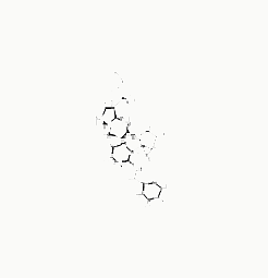 CCOC(=O)c1cnn2ccc(N3CCC4CC43c3cc(F)cnc3OCc3ccccc3)nc12